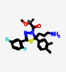 CO[C@@H](C)C(=O)N1N=C(c2cc(F)ccc2F)SC1(CCCN)c1ccc(C)c(C)c1